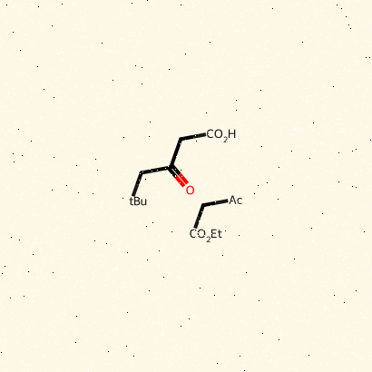 CC(C)(C)CC(=O)CC(=O)O.CCOC(=O)CC(C)=O